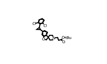 CC(C)(C)OC(=O)CCN1CCC2(CC1)COc1cc(C3CC3c3c(Cl)cccc3Cl)ccc12